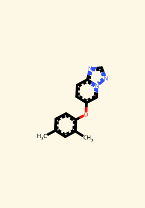 Cc1ccc(Oc2ccc3ncnn3c2)c(C)c1